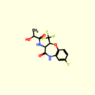 CC(O)C(=O)N[C@@H]1C(=O)Nc2cc(F)ccc2O[C@@H]1C(F)(F)F